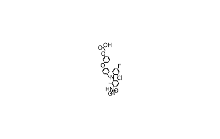 Cc1c(NS(C)(=O)=O)cccc1N(Cc1ccc(Oc2cccc(OCC(=O)O)c2)cc1)c1ccc(F)cc1Cl